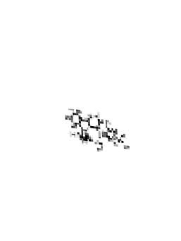 C/C=C/Cn1nc(C(C)(C)C)nc1Cc1ccc(-c2ccccc2-c2nnn[nH]2)cc1